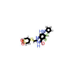 O=c1[nH]c(CSC2CCS(=O)(=O)CC2)nc2cc(NC3CCCC3)c(F)c(F)c12